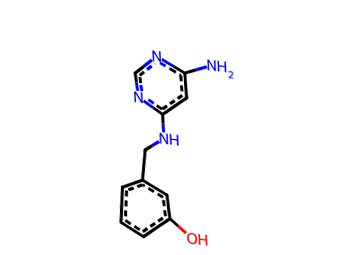 Nc1cc(NCc2cccc(O)c2)ncn1